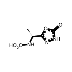 C[C@@H](NC(=O)O)c1n[nH]c(=O)o1